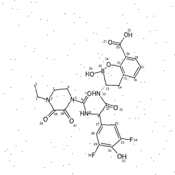 CCN1CCN(C(=O)NC(C(=O)N[C@H]2Cc3cccc(C(=O)O)c3OB2O)c2cc(F)c(O)c(F)c2)C(=O)C1=O